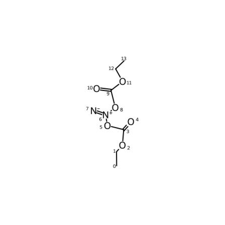 CCOC(=O)O[N+](=[N-])OC(=O)OCC